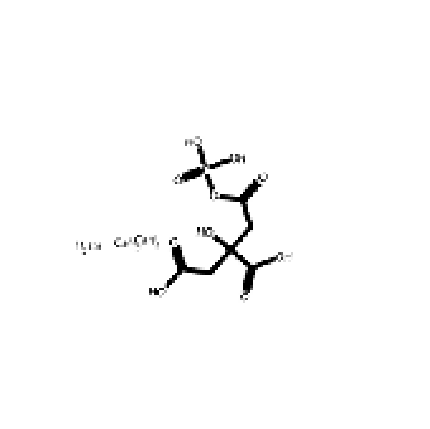 O=C(O)CC(O)(CC(=O)OP(=O)(O)O)C(=O)O.[CaH2].[CaH2].[CaH2]